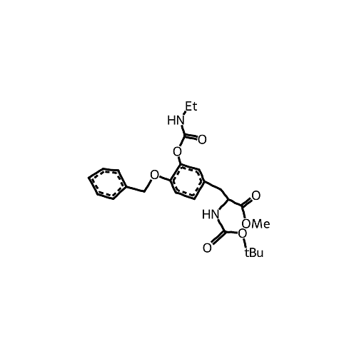 CCNC(=O)Oc1cc(CC(NC(=O)OC(C)(C)C)C(=O)OC)ccc1OCc1ccccc1